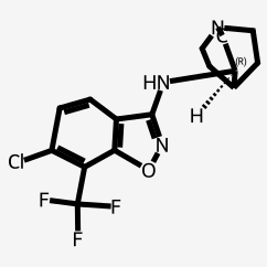 FC(F)(F)c1c(Cl)ccc2c(N[C@H]3CN4CCC3CC4)noc12